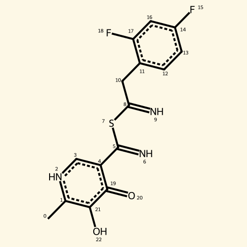 Cc1[nH]cc(C(=N)SC(=N)Cc2ccc(F)cc2F)c(=O)c1O